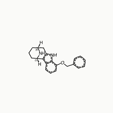 c1ccc(COc2cccc3c4c([nH]c23)C[C@H]2CCC[C@@H]4N2)cc1